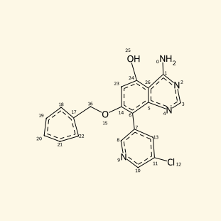 Nc1ncnc2c(-c3cncc(Cl)c3)c(OCc3ccccc3)cc(O)c12